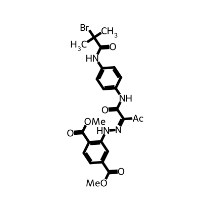 COC(=O)c1ccc(C(=O)OC)c(N/N=C(/C(C)=O)C(=O)Nc2ccc(NC(=O)C(C)(C)Br)cc2)c1